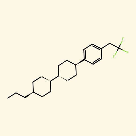 CCC[C@H]1CC[C@H]([C@H]2CC[C@H](c3ccc(CC(F)(F)F)cc3)CC2)CC1